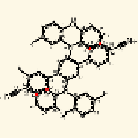 Cc1ccc2c(c1)N(c1cc(-c3ccc(C#N)c(C)c3)c(N3c4cc(C)ccc4Oc4ccc(C)cc43)cc1-c1ccc(C#N)c(C)c1)c1cc(C)ccc1O2